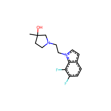 CC1(O)CCN(CCn2ccc3ccc(F)c(F)c32)C1